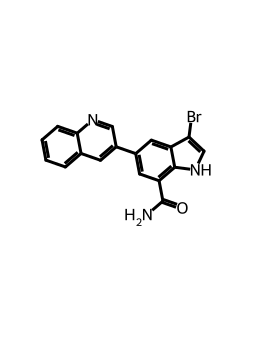 NC(=O)c1cc(-c2cnc3ccccc3c2)cc2c(Br)c[nH]c12